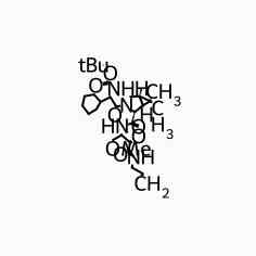 C=CCNC(=O)C(=O)C(COC)NC(=O)[C@@H]1[C@@H]2[C@H](CN1C(=O)[C@@H](NC(=O)OC(C)(C)C)C1CCCCC1)C2(C)C